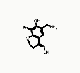 NCc1cc2c(c(Br)c1O)OCC/C2=N\O